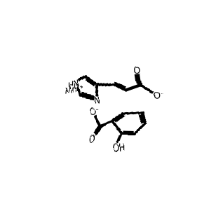 O=C([O-])C=Cc1c[nH]cn1.O=C([O-])c1ccccc1O.[Mn+2]